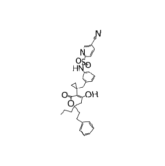 CCCC1(CCc2ccccc2)CC(O)=C(C2(Cc3cccc(NS(=O)(=O)c4ccc(C#N)cn4)c3)CC2)C(=O)O1